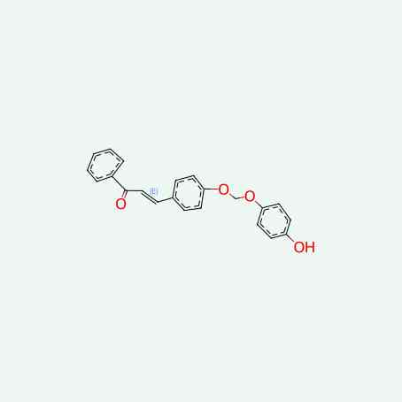 O=C(/C=C/c1ccc(OCOc2ccc(O)cc2)cc1)c1ccccc1